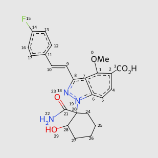 COc1c(C(=O)O)ccc2c1c(/C=C/c1ccc(F)cc1)nn2C1(C(N)=O)CCCCC1O